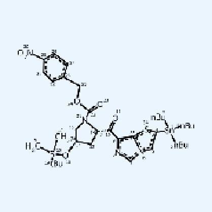 CCC[CH2][Sn]([CH2]CCC)([CH2]CCC)[c]1cn2cnc(C(=O)[C@@H]3C[C@@H](O[Si](C)(C)C(C)(C)C)CN3C(=O)OCc3ccc([N+](=O)[O-])cc3)c2s1